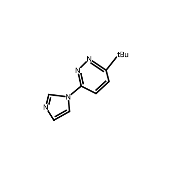 CC(C)(C)c1ccc(-n2ccnc2)nn1